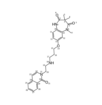 CN1C(=O)C(C)(C)C(=O)Nc2ccc(OCCCNCCn3ccc4ccccc4c3=O)cc21